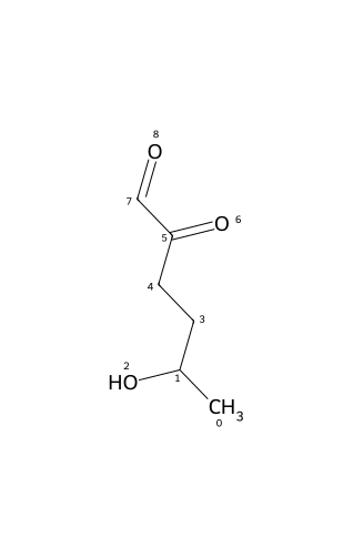 CC(O)CCC(=O)C=O